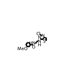 COc1cccc(C(=O)NCCNc2nc(Cl)nc3ccsc23)c1